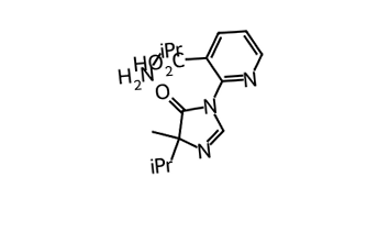 CC(C)C1(C)N=CN(c2ncccc2C(=O)O)C1=O.CC(C)N